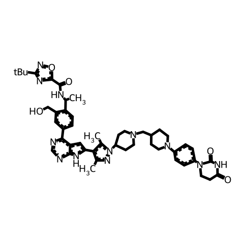 Cc1nn(C2CCN(CC3CCN(c4ccc(N5CCC(=O)NC5=O)cc4)CC3)CC2)c(C)c1-c1cc2c(-c3ccc(C(C)NC(=O)c4nc(C(C)(C)C)no4)c(CO)c3)ncnc2[nH]1